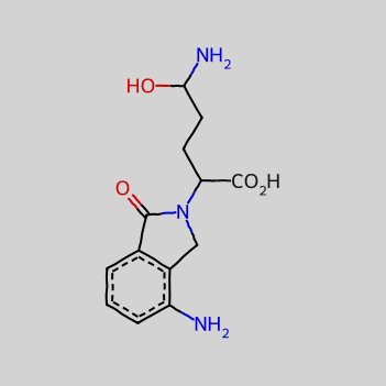 Nc1cccc2c1CN(C(CCC(N)O)C(=O)O)C2=O